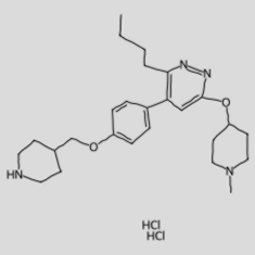 CCCCc1nnc(OC2CCN(C)CC2)cc1-c1ccc(OCC2CCNCC2)cc1.Cl.Cl